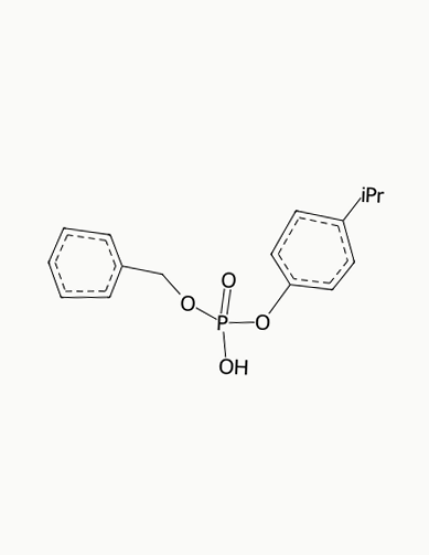 CC(C)c1ccc(OP(=O)(O)OCc2ccccc2)cc1